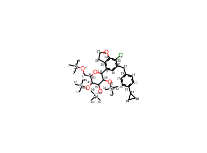 C[Si](C)(C)OC[C@H]1OC(c2cc(Cc3ccc(C4CC4)cc3)c(Cl)c3c2CCO3)C(O[Si](C)(C)C)C(O[Si](C)(C)C)C1O[Si](C)(C)C